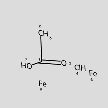 CC(=O)O.Cl.[Fe].[Fe]